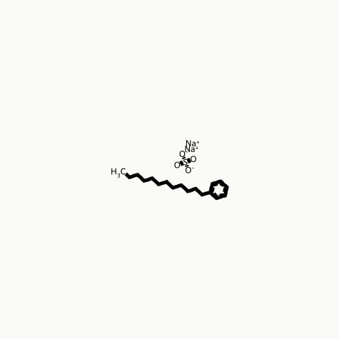 CCCCCCCCCCCCc1ccccc1.O=S(=O)([O-])[O-].[Na+].[Na+]